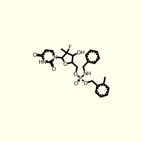 Cc1ccccc1COP(=O)(NCc1ccccc1)OCC1OC(n2ccc(=O)[nH]c2=O)C(C)(F)C1O